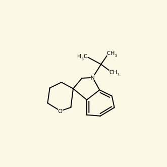 CC(C)(C)N1CC2(CCCOC2)c2ccccc21